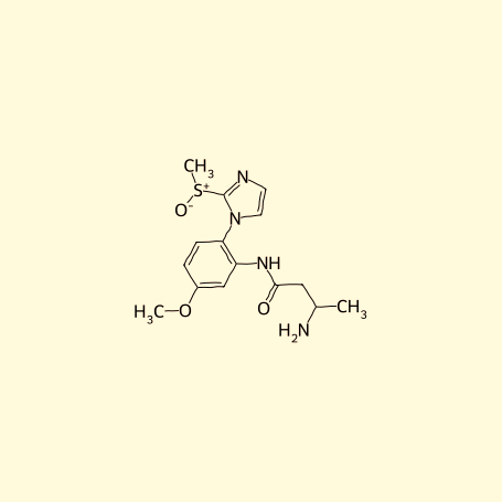 COc1ccc(-n2ccnc2[S+](C)[O-])c(NC(=O)CC(C)N)c1